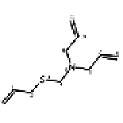 C=CCSCN(CC=C)CC=C